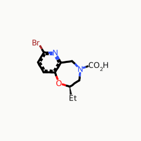 CC[C@@H]1CN(C(=O)O)Cc2nc(Br)ccc2O1